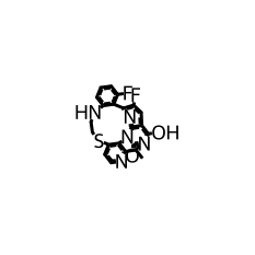 CC(C)c1nccc2c1-n1c(=O)nc(O)c3cc(F)c(nc31)-c1c(F)cccc1NCCS2